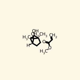 C=CC(=O)OC.CC1(C)[C@@H]2CC[C@]1(C)[C@H](O)C2